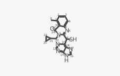 Cc1cccc2nc(C(S)c3ncnc4[nH]cnc34)n(CC3CC3)c(=O)c12